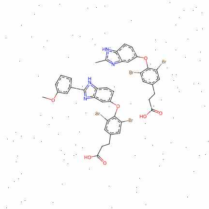 COc1cccc(-c2nc3cc(Oc4c(Br)cc(CCC(=O)O)cc4Br)ccc3[nH]2)c1.Cc1nc2cc(Oc3c(Br)cc(CCC(=O)O)cc3Br)ccc2[nH]1